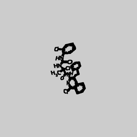 CC(C)(NC(=O)Nc1ccccc1Cl)C(=O)Nc1nc(Cl)c2ccccc2c1Cc1ccccc1